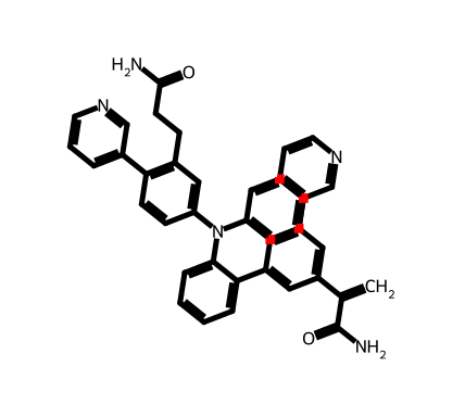 C=C(C(N)=O)c1cc(-c2cccnc2)cc(-c2ccccc2N(c2ccccc2)c2ccc(-c3cccnc3)c(CCC(N)=O)c2)c1